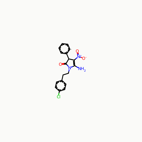 NC1=C([N+](=O)[O-])C(c2[c]cccc2)C(=O)N1CCc1ccc(Cl)cc1